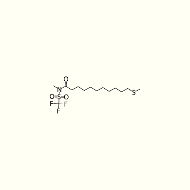 CSCCCCCCCCCCC(=O)N(C)S(=O)(=O)C(F)(F)F